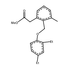 CCc1ccc(OCc2c(C)cccc2CC(=O)OC)c(CC)c1